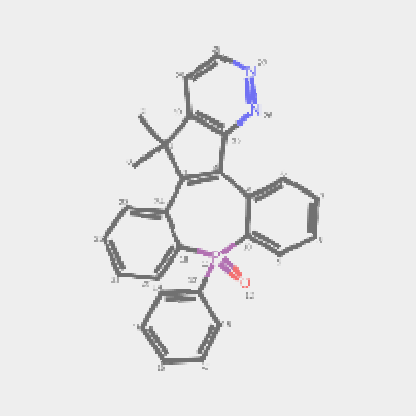 CC1(C)C2=C(c3ccccc3P(=O)(c3ccccc3)c3ccccc32)c2nnccc21